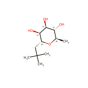 C[C@H]1O[C@H](CC(C)(C)C)[C@@H](O)[C@@H](O)[C@@H]1O